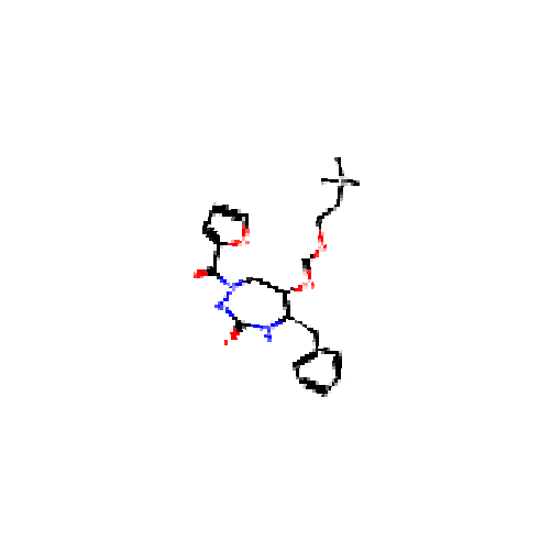 C[Si](C)(C)CCOCO[C@@H]1CN(C(=O)c2ccco2)NC(=O)N[C@@H]1Cc1ccccc1